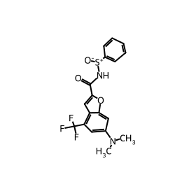 CN(C)c1cc(C(F)(F)F)c2cc(C(=O)N[S+]([O-])c3ccccc3)oc2c1